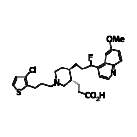 COc1ccc2nccc([C@H](F)CC[C@@H]3CCN(CCCc4sccc4Cl)C[C@H]3CCC(=O)O)c2c1